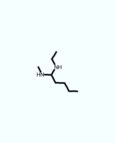 CCCCC(NC)NCC